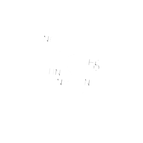 Cl.N#Cc1cccc(-c2cc(-c3ccccc3N3CCOCC3)n[nH]2)c1